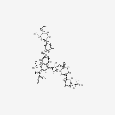 C=CC(=O)Nc1cc(N2CC(C3CN(c4ccnc(C(F)(F)F)c4)CCS3(=O)=O)C2C)c2cnc(Nc3ccnc(N4CC[C@@H](OC)[C@@H](F)C4)n3)cc2c1C(C)C